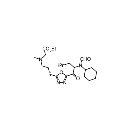 CCOC(=O)CN(C)CCSc1nnc(C(=O)C(CC(C)C)N(C=O)C2CCCCC2)o1